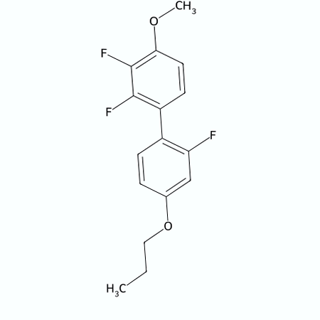 CCCOc1ccc(-c2ccc(OC)c(F)c2F)c(F)c1